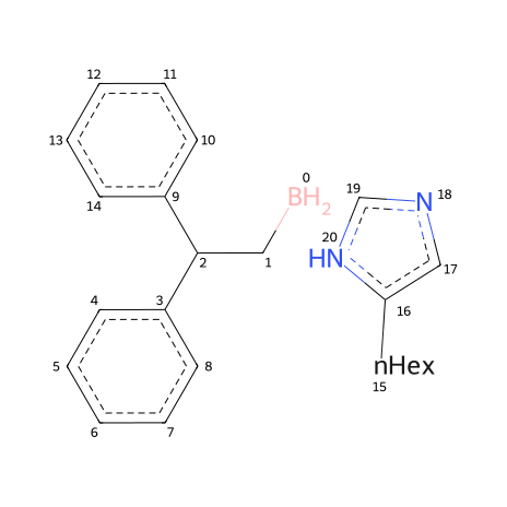 BCC(c1ccccc1)c1ccccc1.CCCCCCc1cnc[nH]1